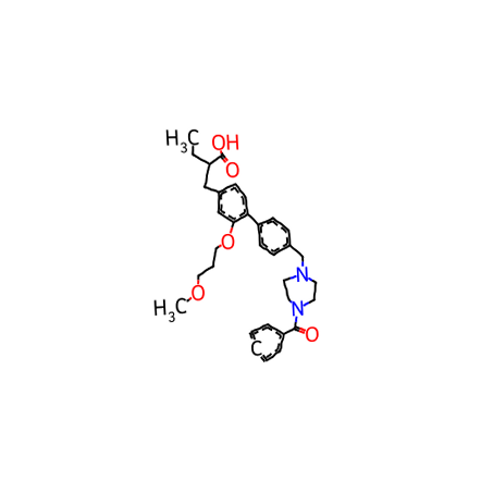 CCC(Cc1ccc(-c2ccc(CN3CCN(C(=O)c4ccccc4)CC3)cc2)c(OCCCOC)c1)C(=O)O